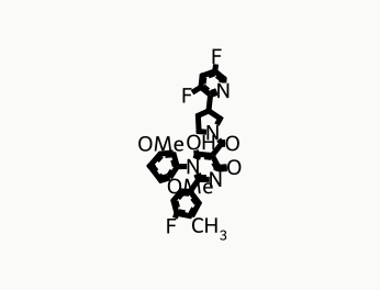 COc1cccc(OC)c1-n1c(-c2ccc(F)c(C)c2)nc(=O)c(C(=O)N2CCC(c3ncc(F)cc3F)C2)c1O